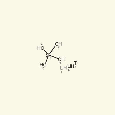 O[Si](O)(O)O.[LiH].[LiH].[Ti]